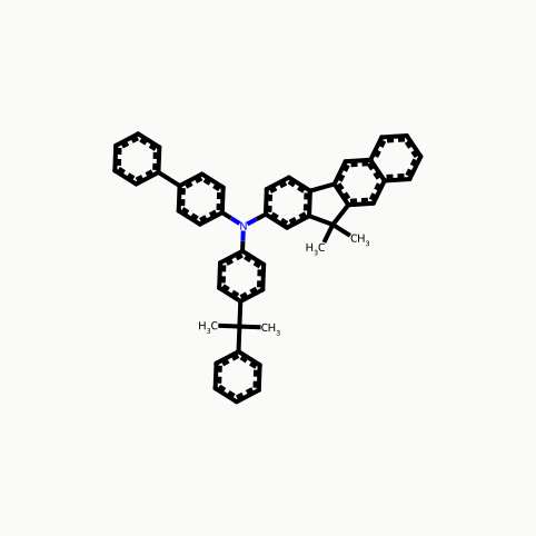 CC(C)(c1ccccc1)c1ccc(N(c2ccc(-c3ccccc3)cc2)c2ccc3c(c2)C(C)(C)c2cc4ccccc4cc2-3)cc1